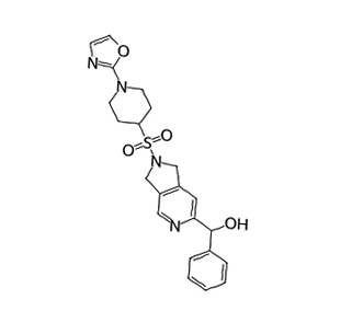 O=S(=O)(C1CCN(c2ncco2)CC1)N1Cc2cnc(C(O)c3ccccc3)cc2C1